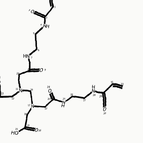 C=CC(=O)NCCNC(=O)CN(CC(=O)O)CN(CC(=O)O)CC(=O)NCCNC(=O)C=C